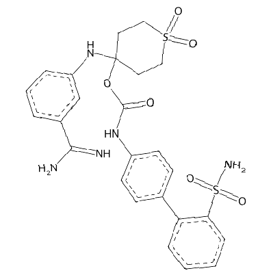 N=C(N)c1cccc(NC2(OC(=O)Nc3ccc(-c4ccccc4S(N)(=O)=O)cc3)CCS(=O)(=O)CC2)c1